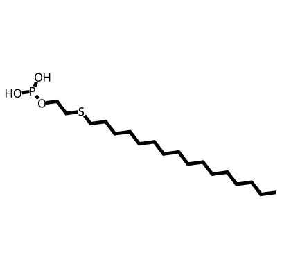 CCCCCCCCCCCCCCCCSCCOP(O)O